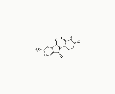 CC1C=C2C(=O)N(C3CCC(=O)NC3=O)C(=O)C2=CO1